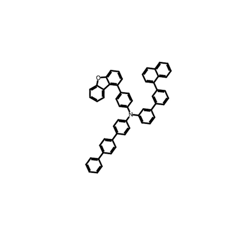 c1ccc(-c2ccc(-c3ccc(N(c4ccc(-c5cccc6oc7ccccc7c56)cc4)c4cccc(-c5cccc(-c6cccc7ccccc67)c5)c4)cc3)cc2)cc1